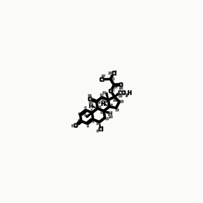 C[C@]12C=CC(=O)C=C1[C@@H](Cl)C[C@@H]1[C@@H]2C(=O)C[C@@]2(C)[C@H]1CC[C@]2(OC(=O)C(Cl)Cl)C(=O)O